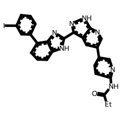 CCC(=O)Nc1ccc(-c2cnc3[nH]nc(-c4nc5c(-c6cccc(I)c6)cccc5[nH]4)c3c2)cn1